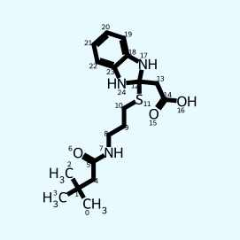 CC(C)(C)CC(=O)NCCCSC1(CC(=O)O)Nc2ccccc2N1